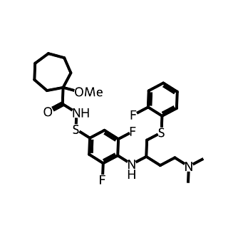 COC1(C(=O)NSc2cc(F)c(NC(CCN(C)C)CSc3ccccc3F)c(F)c2)CCCCCC1